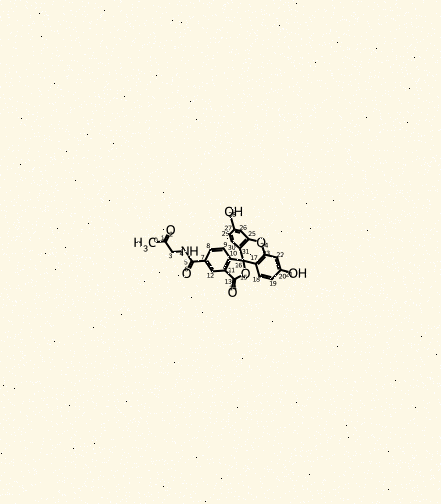 CC(=O)CNC(=O)c1ccc2c(c1)C(=O)OC21c2ccc(O)cc2Oc2cc(O)ccc21